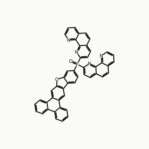 O=P(c1ccc2c(c1)oc1cc3c4ccccc4c4ccccc4c3cc12)(c1ccc2ccc3cccnc3c2n1)c1ccc2ccc3cccnc3c2n1